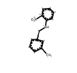 Cc1cccc(CNc2ccccc2[N+](=O)[O-])c1